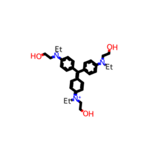 CCN(CCO)c1ccc(C(=C2C=CC(=[N+](CC)CCO)C=C2)c2ccc(N(CC)CCO)cc2)cc1